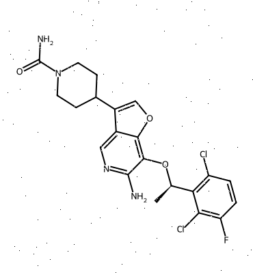 C[C@@H](Oc1c(N)ncc2c(C3CCN(C(N)=O)CC3)coc12)c1c(Cl)ccc(F)c1Cl